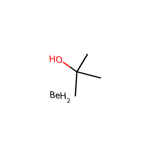 CC(C)(C)O.[BeH2]